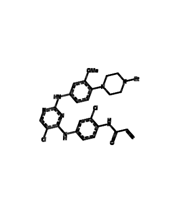 C=CC(=O)Nc1ccc(Nc2nc(Nc3ccc(N4CCN(CC)CC4)c(OC)c3)ncc2Cl)cc1Cl